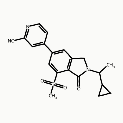 CC(C1CC1)N1Cc2cc(-c3ccnc(C#N)c3)cc(S(C)(=O)=O)c2C1=O